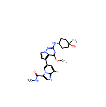 CNC(=O)c1cnc2c(F)cc(-c3ccn4nc(N[C@H]5CC[C@@](C)(O)CC5)nc(OC)c34)cn12